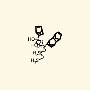 C[Si](O)(O[Si](C)(O[SiH2]O[SiH3])C1CC2CC1C1C3C=CC(C3)C21)C1CC2C=CC1C2